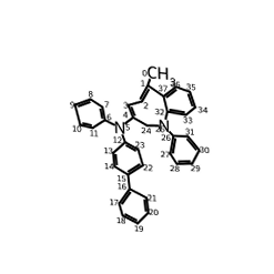 C/C1=C\C=C(\N(c2ccccc2)c2ccc(-c3ccccc3)cc2)CN(c2ccccc2)c2ccccc21